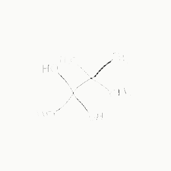 CC(C)(C)C(O)(O)O